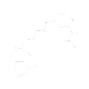 CCC(=O)Nc1cc(C(=O)NCCOc2ccc3cccc(C(F)(F)F)c3n2)ccn1